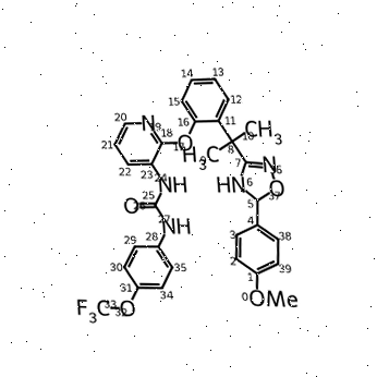 COc1ccc(C2NC(C(C)(C)c3ccccc3Oc3ncccc3NC(=O)Nc3ccc(OC(F)(F)F)cc3)=NO2)cc1